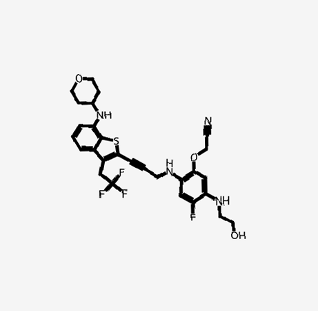 N#CCOc1cc(NCCO)c(F)cc1NCC#Cc1sc2c(NC3CCOCC3)cccc2c1CC(F)(F)F